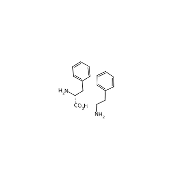 NCCc1ccccc1.N[C@H](Cc1ccccc1)C(=O)O